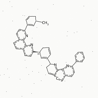 CC1C=C(c2ccc3ccc4ccc([C@@H]5C=C(C6CC=c7ccc8ccc(-c9ccccc9)nc8c7=N6)C=CC5)nc4c3n2)C=CC1